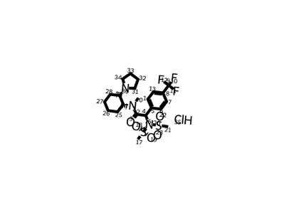 CN(C(=O)C(c1ccc(C(F)(F)F)cc1)N(S(C)(=O)=O)S(C)(=O)=O)[C@@H]1CCCC[C@H]1N1CCCC1.Cl